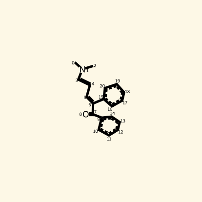 CN(C)C=CC=C(C(=O)c1ccccc1)c1ccccc1